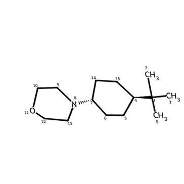 CC(C)(C)[C@H]1CC[C@H](N2CCOCC2)CC1